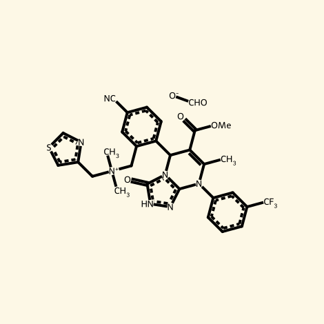 COC(=O)C1=C(C)N(c2cccc(C(F)(F)F)c2)c2n[nH]c(=O)n2C1c1ccc(C#N)cc1C[N+](C)(C)Cc1cscn1.O=C[O-]